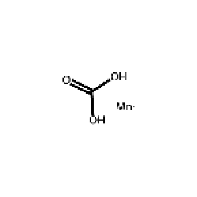 O=C(O)O.[Mn]